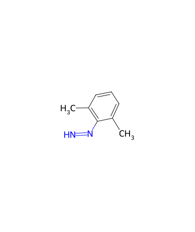 Cc1cccc(C)c1N=N